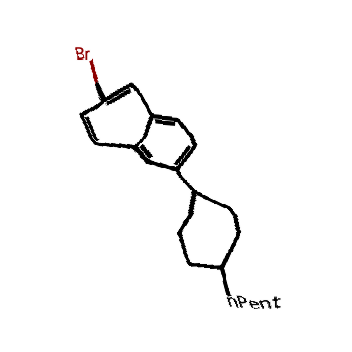 CCCCCC1CCC(c2ccc3cc(Br)ccc3c2)CC1